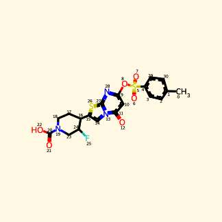 Cc1ccc(S(=O)(=O)Oc2cc(=O)n3cc(C4CCN(C(=O)O)CC4F)sc3n2)cc1